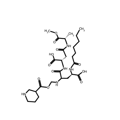 CCCCCCC(=O)N[C@H](CC(NCOC(=O)C1CCCNC1)C(=O)N[C@@H](CC(=O)N[C@@H](C)C(=O)OC)C(=O)O)C(=O)O